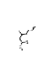 COC(=O)CC(C)CCC=O